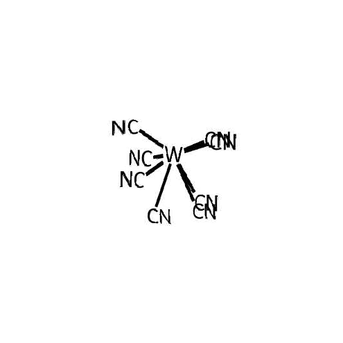 N#[C][W]([C]#N)([C]#N)([C]#N)([C]#N)([C]#N)([C]#N)[C]#N